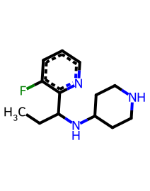 CCC(NC1CCNCC1)c1ncccc1F